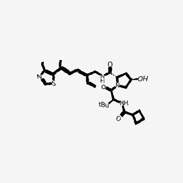 C=C/C(=C\C=C(/C)c1scnc1C)CNC(=O)[C@@H]1C[C@@H](O)CN1C(=O)[C@@H](NC(=O)C1CCC1)C(C)(C)C